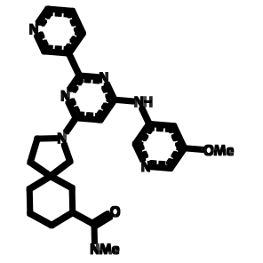 CNC(=O)C1CCCC2(CCN(c3cc(Nc4cncc(OC)c4)nc(-c4cccnc4)n3)C2)C1